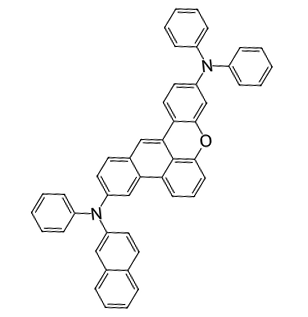 c1ccc(N(c2ccccc2)c2ccc3c(c2)Oc2cccc4c2c-3cc2ccc(N(c3ccccc3)c3ccc5ccccc5c3)cc24)cc1